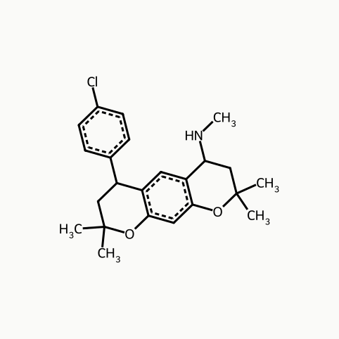 CNC1CC(C)(C)Oc2cc3c(cc21)C(c1ccc(Cl)cc1)CC(C)(C)O3